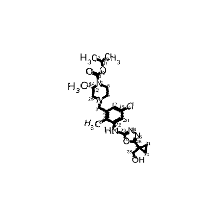 Cc1c(CN2CCN(C(=O)OC(C)C)[C@@H](C)C2)cc(Cl)cc1Nc1nnc(C2(CO)CC2)o1